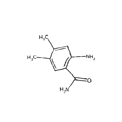 Cc1cc(N)c(C(N)=O)cc1C